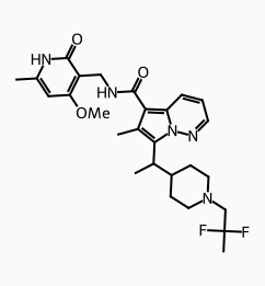 COc1cc(C)[nH]c(=O)c1CNC(=O)c1c(C)c(C(C)C2CCN(CC(C)(F)F)CC2)n2ncccc12